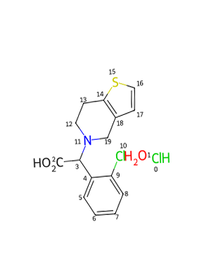 Cl.O.O=C(O)C(c1ccccc1Cl)N1CCc2sccc2C1